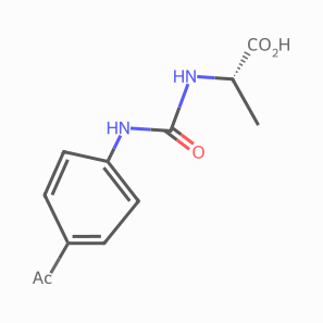 CC(=O)c1ccc(NC(=O)N[C@@H](C)C(=O)O)cc1